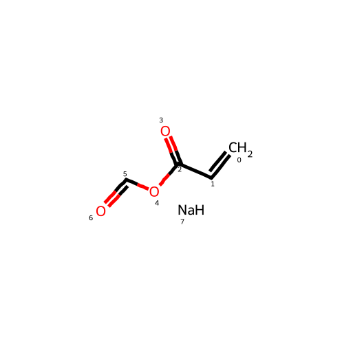 C=CC(=O)OC=O.[NaH]